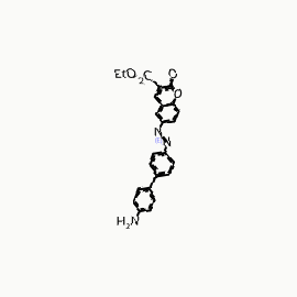 CCOC(=O)c1cc2cc(/N=N/c3ccc(-c4ccc(N)cc4)cc3)ccc2oc1=O